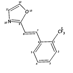 FC(F)(F)c1ccccc1C=Cc1ncco1